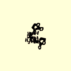 NP(=O)(NNN1CCOC1=O)NNN1CCOC1=O